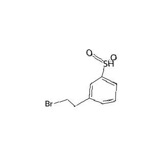 O=[SH](=O)c1cccc(CCBr)c1